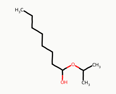 CCCCCCCC(O)OC(C)C